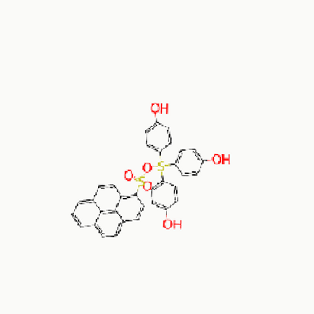 O=S(=O)(OS(c1ccc(O)cc1)(c1ccc(O)cc1)c1ccc(O)cc1)c1ccc2ccc3cccc4ccc1c2c34